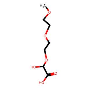 COCCOCCOC(O)C(=O)O